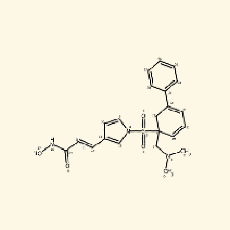 CN(C)CC1(S(=O)(=O)n2ccc(/C=C/C(=O)NO)c2)C=CC=C(c2ccccc2)C1